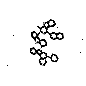 Cc1c(-c2cccc3oc4c(-n5c6ccccc6c6c7ccccc7c(-c7ccccc7)cc65)cccc4c23)nc(-c2ccc3ccccc3c2)c2c1sc1ccccc12